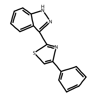 c1ccc(-c2csc(-c3n[nH]c4ccccc34)n2)cc1